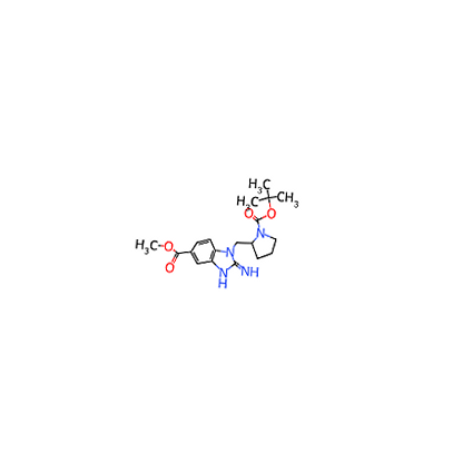 COC(=O)c1ccc2c(c1)[nH]c(=N)n2CC1CCCN1C(=O)OC(C)(C)C